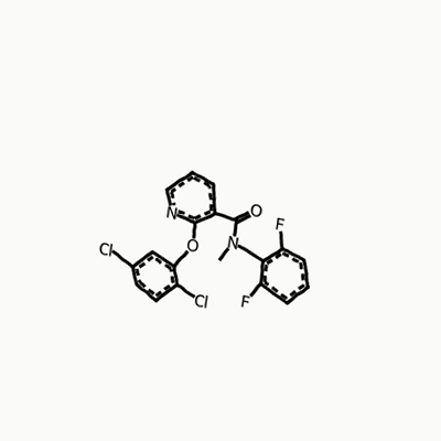 CN(C(=O)c1cccnc1Oc1cc(Cl)ccc1Cl)c1c(F)cccc1F